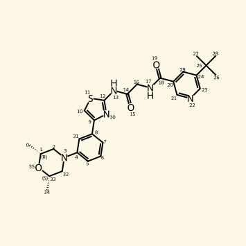 C[C@@H]1CN(c2cccc(-c3csc(NC(=O)CNC(=O)c4cncc(C(C)(C)C)c4)n3)c2)C[C@H](C)O1